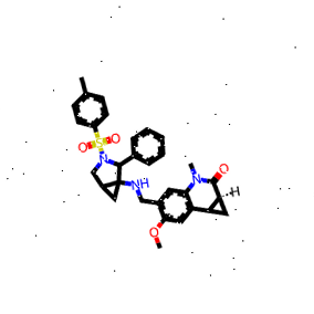 COc1cc2c(cc1CNC13CC1CN(S(=O)(=O)c1ccc(C)cc1)C3c1ccccc1)N(C)C(=O)[C@H]1CC21